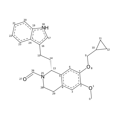 COc1cc2c(cc1OCC1CC1)[C@@H](CCc1c[nH]c3ccccc13)N(C=O)CC2